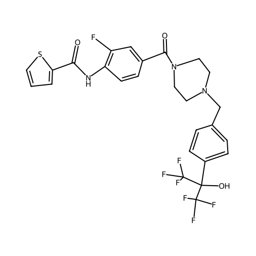 O=C(Nc1ccc(C(=O)N2CCN(Cc3ccc(C(O)(C(F)(F)F)C(F)(F)F)cc3)CC2)cc1F)c1cccs1